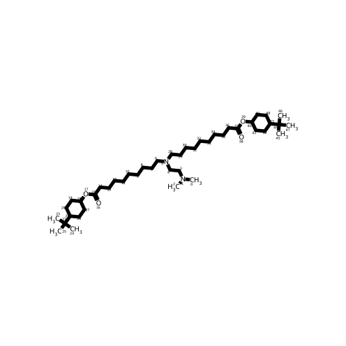 CN(C)CCN(CCCCCCCCCC(=O)OC1CCC(C(C)(C)C)CC1)CCCCCCCCCC(=O)OC1CCC(C(C)(C)C)CC1